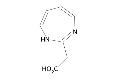 O=C(O)CC1=NC=CC=CN1